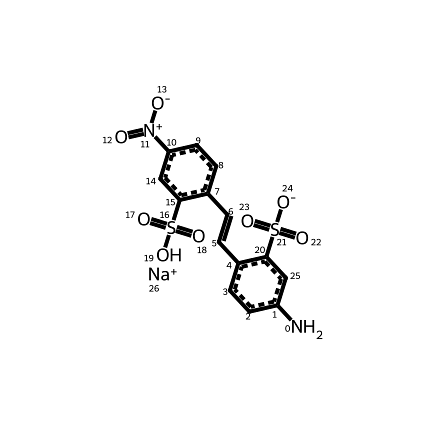 Nc1ccc(C=Cc2ccc([N+](=O)[O-])cc2S(=O)(=O)O)c(S(=O)(=O)[O-])c1.[Na+]